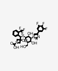 O=C(O)N1CC(O)([C@H](S[C@@H]2O[C@H](CO)[C@H](O)[C@H](n3cc(-c4cc(F)c(F)c(F)c4)nn3)[C@H]2O)c2ccccc2C(F)(F)F)C1